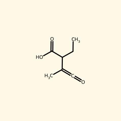 CCC(C(=O)O)C(C)=C=O